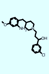 COc1ccc(CC2CCN(CCC(O)c3cccc(Cl)c3)CC2)c(N)c1